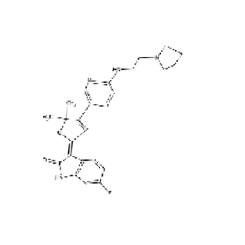 CC1(C)OC(=C2C(=O)Nc3cc(F)ccc32)C=C1c1ccc(NCCN2CCCC2)nc1